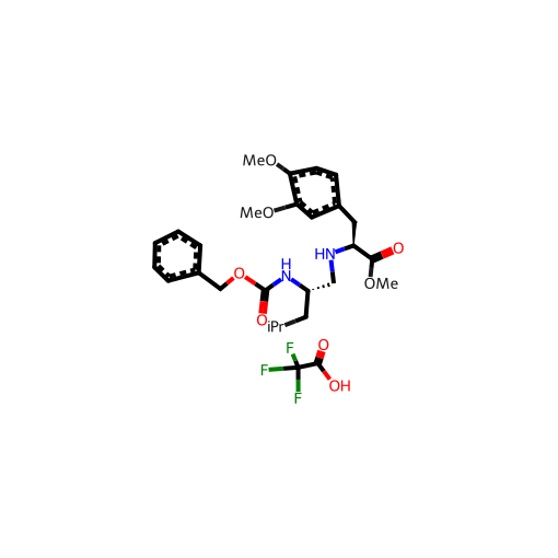 COC(=O)[C@H](Cc1ccc(OC)c(OC)c1)NC[C@H](CC(C)C)NC(=O)OCc1ccccc1.O=C(O)C(F)(F)F